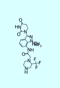 Br.Cn1nc(N2CCC(=O)NC2=O)c2cccc(NC(=O)CN3CCNCC3C(F)(F)F)c21